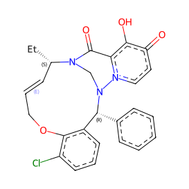 CC[C@H]1/C=C/COc2c(Cl)cccc2[C@@H](c2ccccc2)N2CN1C(=O)c1c(O)c(=O)ccn12